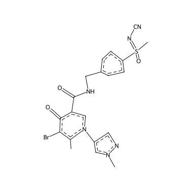 Cc1c(Br)c(=O)c(C(=O)NCc2ccc(S(C)(=O)=NC#N)cc2)cn1-c1cnn(C)c1